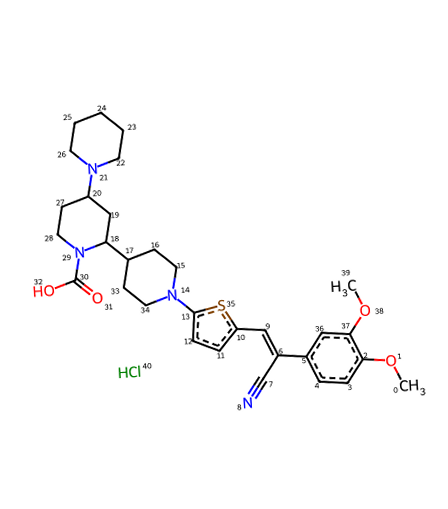 COc1ccc(C(C#N)=Cc2ccc(N3CCC(C4CC(N5CCCCC5)CCN4C(=O)O)CC3)s2)cc1OC.Cl